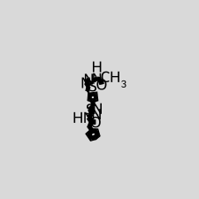 CC(=O)Nc1nnc(C[C@H]2CCC(c3nnc(NC(=O)Cc4ccccc4)s3)C2)s1